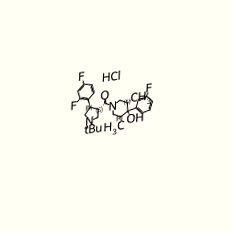 C[C@@H]1CN(C(=O)[C@@H]2CN(C(C)(C)C)C[C@H]2c2ccc(F)cc2F)C[C@H](C)C1(O)c1cccc(F)c1.Cl